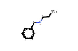 CNCC[N]Cc1ccccc1